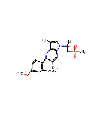 CC[C@@H](CS(C)(=O)=O)n1cc(C)c2nc(-c3ccc(OC(F)(F)F)cc3OC)c(C)cc21